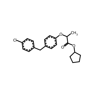 CC(Oc1ccc(Cc2ccc(Cl)cc2)cc1)C(=O)OC1CCCC1